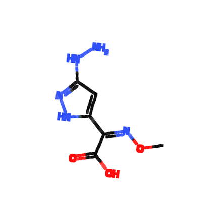 CON=C(C(=O)O)c1cc(NN)n[nH]1